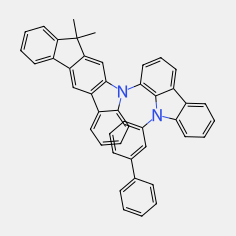 CC1(C)c2ccccc2-c2cc3c4ccccc4n(-c4cccc5c6ccccc6n(-c6cccc(-c7ccccc7)c6)c45)c3cc21